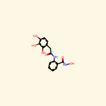 O=C(Cc1ccc(O)c(O)c1O)Nc1ccccc1C(=O)NO